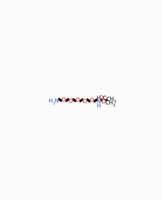 CC(C)(C)OC(=O)NCCOCCOCCOCCOCCOCCN